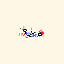 Cc1cnc(Nc2ccc3c(c2)OC(F)(F)O3)nc1-n1ccc(C(=O)NC(CO)c2ccc(F)c(Cl)c2)c1